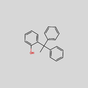 CC(c1ccccc1)(c1ccccc1)c1ccccc1O